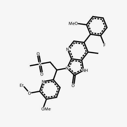 CCOc1nc(C(CS(C)(=O)=O)n2c(=O)[nH]c3c(C)c(-c4c(F)cccc4OC)cnc32)ccc1OC